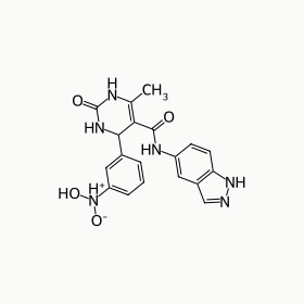 CC1=C(C(=O)Nc2ccc3[nH]ncc3c2)C(c2cccc([NH+]([O-])O)c2)NC(=O)N1